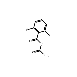 NC(=O)OC(=O)c1c(F)cccc1F